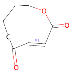 O=C1/C=C/C(=O)OCCCC1